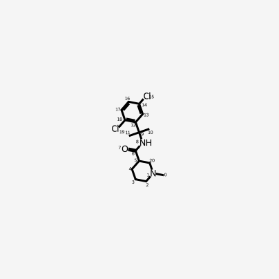 CN1CCCC(C(=O)NC(C)(C)c2cc(Cl)ccc2Cl)C1